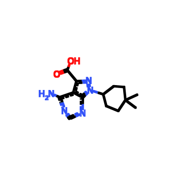 CC1(C)CCC(n2nc(C(=O)O)c3c(N)ncnc32)CC1